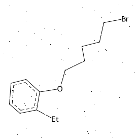 CCc1ccccc1OCCCCCBr